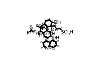 CN1CC[C@]23C4=C5C=CC(O)C4(CCCS(=O)(=O)O)O[C@H]2[C@@H](O)C=C[C@H]3[C@H]1C5.FC(F)F.c1ccc2ncccc2c1